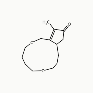 CC1=C2CCCCCCCCCCC2CC1=O